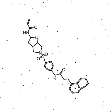 C=CC(=O)NC1CC2CN(S(=O)(=O)c3ccc(NC(=O)CCc4cccc5ccccc45)cc3)CC2O1